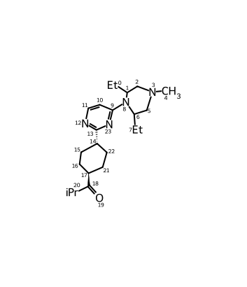 CCC1CN(C)CC(CC)N1c1ccnc([C@H]2CC[C@H](C(=O)C(C)C)CC2)n1